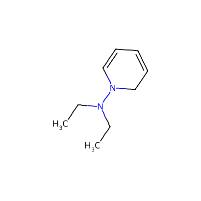 CCN(CC)N1C=CC=CC1